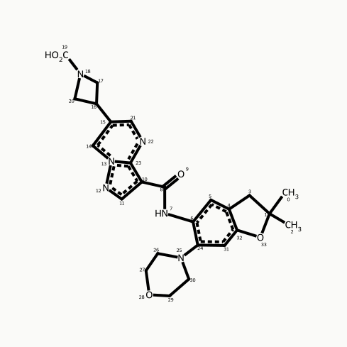 CC1(C)Cc2cc(NC(=O)c3cnn4cc(C5CN(C(=O)O)C5)cnc34)c(N3CCOCC3)cc2O1